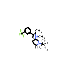 CCN(C)[C@@]1(CCc2cccc(C(F)(F)F)c2)CCCN(C(C)(C)C)C1